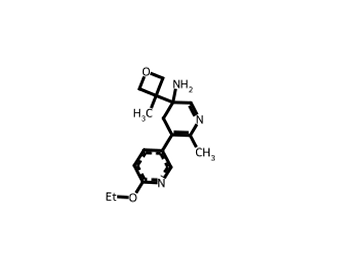 CCOc1ccc(C2=C(C)N=CC(N)(C3(C)COC3)C2)cn1